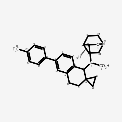 O=C(O)N(C1c2ccc(-c3ccc(C(F)(F)F)cc3)cc2CCC12CC2)[C@@H]1CN2CCC1CC2